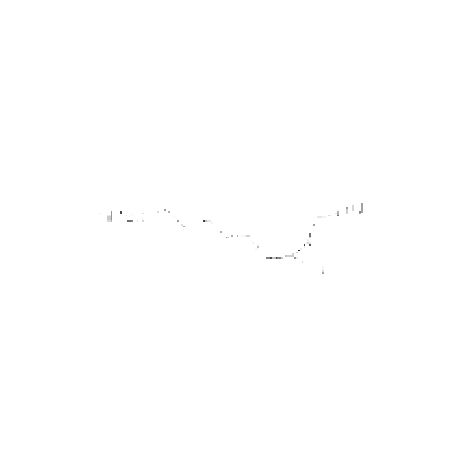 CCCCCCCCCCC=CC1OC1CO